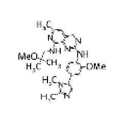 COc1cc(-c2cnc(C)n2C)ccc1Nc1ncc2cc(C)nc(NCC(C)(C)OC)c2n1